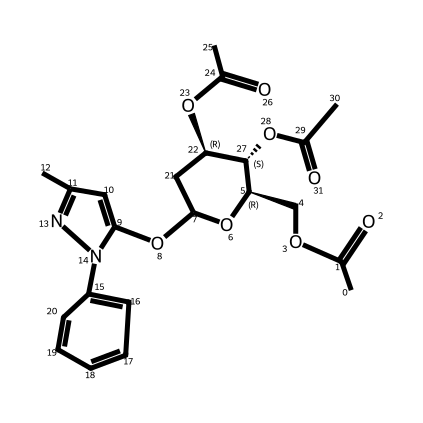 CC(=O)OC[C@H]1OC(Oc2cc(C)nn2-c2ccccc2)C[C@@H](OC(C)=O)[C@@H]1OC(C)=O